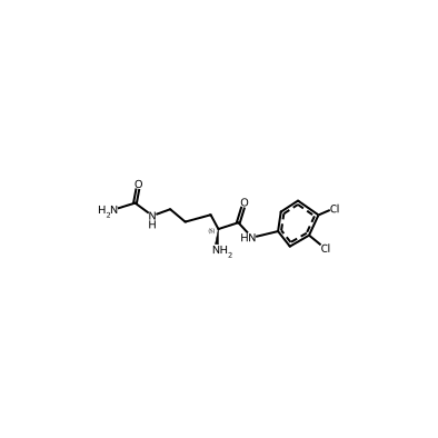 NC(=O)NCCC[C@H](N)C(=O)Nc1ccc(Cl)c(Cl)c1